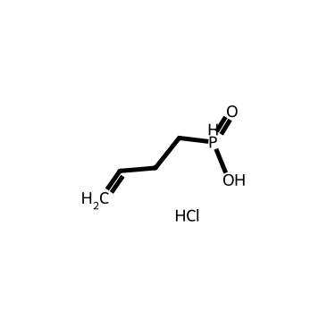 C=CCC[PH](=O)O.Cl